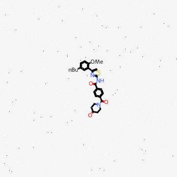 CCCCc1ccc(OC)c(-c2csc(NC(=O)c3ccc(C(=O)N4CCC(=O)CC4)cc3)n2)c1